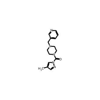 Cc1cnn(C(=O)N2CCN(Cc3cccnc3)CC2)c1